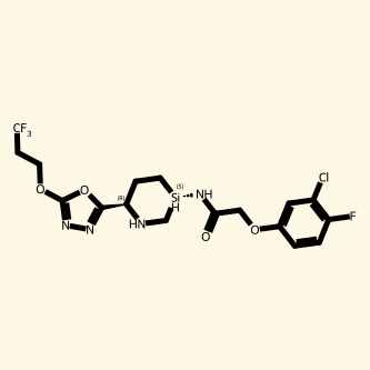 O=C(COc1ccc(F)c(Cl)c1)N[Si@H]1CC[C@H](c2nnc(OCCC(F)(F)F)o2)NC1